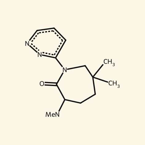 CNC1CCC(C)(C)CN(c2cccnn2)C1=O